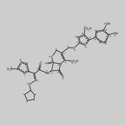 Nc1nc(C(=NOC2CCCC2)C(=O)N[C@@H]2C(=O)N3C(C(=O)O)=C(CSc4nc(C(=O)O)c(-c5ccc(O)c(O)c5)s4)CS[C@@H]23)cs1